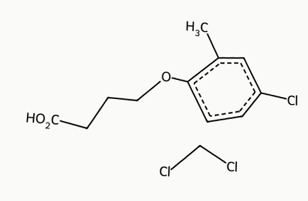 Cc1cc(Cl)ccc1OCCCC(=O)O.ClCCl